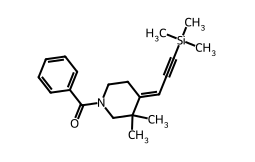 CC1(C)CN(C(=O)c2ccccc2)CC/C1=C\C#C[Si](C)(C)C